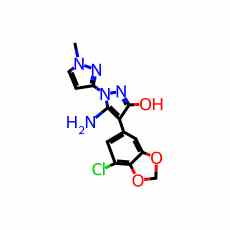 Cn1ccc(-n2nc(O)c(-c3cc(Cl)c4c(c3)OCO4)c2N)n1